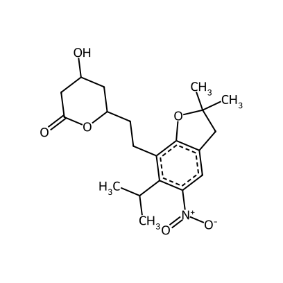 CC(C)c1c([N+](=O)[O-])cc2c(c1CCC1CC(O)CC(=O)O1)OC(C)(C)C2